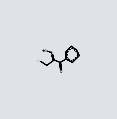 O=C(C(CCl)=NO)c1ccccc1